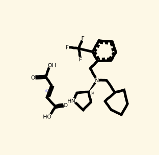 FC(F)(F)c1ccccc1CN(CC1CCCCC1)[C@H]1CCNC1.O=C(O)/C=C/C(=O)O